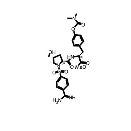 CO.COC(=O)[C@H](Cc1ccc(OC(=O)N(C)C)cc1)NC(=O)[C@@H]1CCCN1S(=O)(=O)c1ccc(C(=N)N)cc1